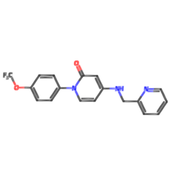 O=c1cc(NCc2ccccn2)ccn1-c1ccc(OC(F)(F)F)cc1